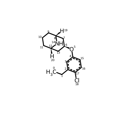 CCc1cc(O[C@@H]2C[C@H]3CCC[C@@H](C2)N3)ccc1Cl